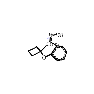 CCOC(=O)C1(Oc2ccccc2/C=N\O)CCC1